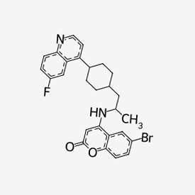 CC(CC1CCC(c2ccnc3ccc(F)cc23)CC1)Nc1cc(=O)oc2ccc(Br)cc12